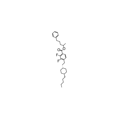 CCCCC[C@H]1CC[C@H](CCc2ccc(C(=O)OC(C)CCCc3ccccc3)c(F)c2F)CC1